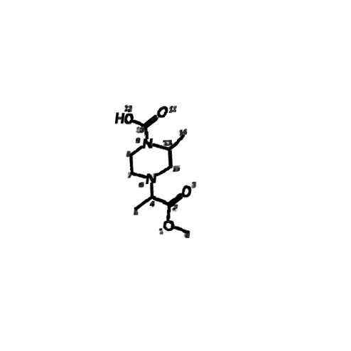 COC(=O)C(C)N1CCN(C(=O)O)C(C)C1